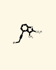 Cc1c(C(=O)O)oc2cccc(C#CCC(C)C)c12